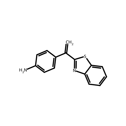 C=C(c1ccc(N)cc1)c1nc2ccccc2s1